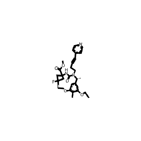 CCOc1cc([C@@H](C)N(CCC#Cc2ccncc2)C(=O)NC2(C(=O)OC)CC(F)(F)C2)cc(OCC)c1C